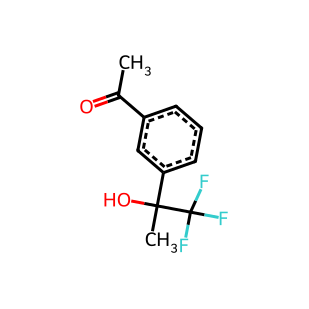 CC(=O)c1cccc(C(C)(O)C(F)(F)F)c1